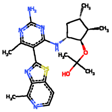 Cc1nc(N)nc(N[C@@H]2C[C@H](C)[C@@H](C)[C@H]2OC(C)(C)O)c1-c1nc2c(C)nccc2s1